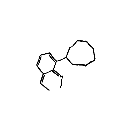 C/C=C1/C=CC=C(C2CCCCCCC2)/C1=N/C